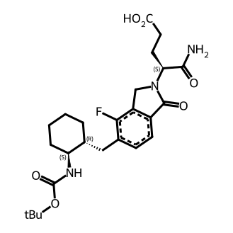 CC(C)(C)OC(=O)N[C@H]1CCCC[C@@H]1Cc1ccc2c(c1F)CN([C@@H](CCC(=O)O)C(N)=O)C2=O